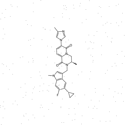 Cc1cn(-c2ccc3n(c2=O)C[C@@H](C)N(Cc2cn(C)c4cc(F)c(C5CC5)cc24)C3=O)cn1